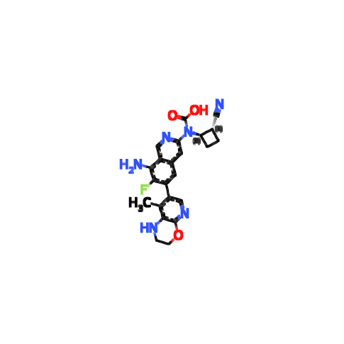 Cc1c(-c2cc3cc(N(C(=O)O)[C@@H]4CC[C@H]4C#N)ncc3c(N)c2F)cnc2c1NCCO2